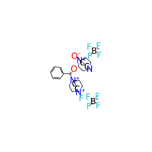 F[B-](F)(F)F.F[B-](F)(F)F.O=C(c1ccccc1)[N+]12CC[N+](F)(CC1)CC2.[O-][N+]12CCN(CC1)CC2